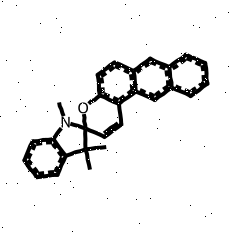 CN1c2ccccc2C(C)(C)C12C=Cc1c(ccc3cc4ccccc4cc13)O2